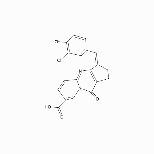 O=C(O)c1ccc2nc3c(c(=O)n2c1)CC/C3=C/c1ccc(Cl)c(Cl)c1